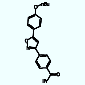 CCCCOc1ccc(-c2cc(-c3ccc(C(=O)C(C)C)cc3)no2)cc1